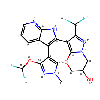 Cn1cc(-c2c(-c3c(C(F)F)nn4c3OCC(O)C4)[nH]c3ncccc23)c(OC(F)F)n1